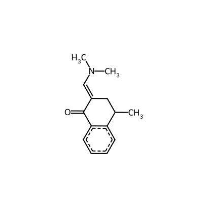 CC1C/C(=C\N(C)C)C(=O)c2ccccc21